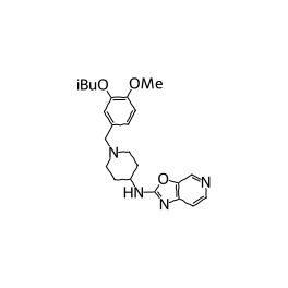 COc1ccc(CN2CCC(Nc3nc4ccncc4o3)CC2)cc1OCC(C)C